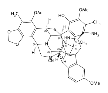 COc1ccc2[nH]c3c(c2c1)C[C@H](CN)N[C@]31CS[C@@H]2c3c(OC(C)=O)c(C)c4c(c3[C@H](COC1=O)N1C2[C@H]2c3c(cc(C)c(OC)c3O)[C@@]3(C)C[C@H]([C@@H]1C#N)N23)OCO4